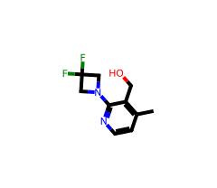 Cc1ccnc(N2CC(F)(F)C2)c1CO